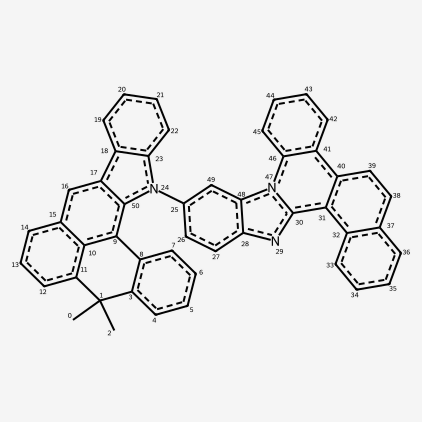 CC1(C)c2ccccc2-c2c3c1cccc3cc1c3ccccc3n(-c3ccc4nc5c6c7ccccc7ccc6c6ccccc6n5c4c3)c21